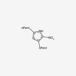 CCCCCc1cc(CCCCC)c([N+](=O)[O-])[nH]1